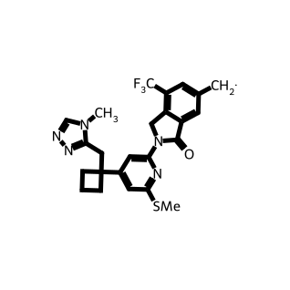 [CH2]c1cc2c(c(C(F)(F)F)c1)CN(c1cc(C3(Cc4nncn4C)CCC3)cc(SC)n1)C2=O